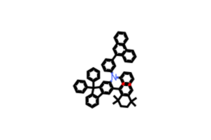 CC1(C)CCC(C)(C)c2c(-c3cc4c(cc3N(c3ccccc3)c3cccc(-c5cc6ccccc6c6ccccc56)c3)C(c3ccccc3)(c3ccccc3)c3ccccc3-4)cccc21